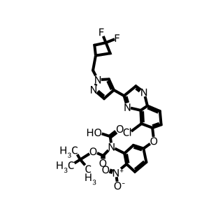 CC(C)(C)OC(=O)N(C(=O)O)c1cc(Oc2ccc3ncc(-c4cnn(CC5CC(F)(F)C5)c4)nc3c2Cl)ccc1[N+](=O)[O-]